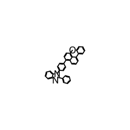 c1ccc(-c2nc3ccccc3n2-c2ccc(-c3ccc4c5c(cccc35)-c3ccccc3O4)cc2)cc1